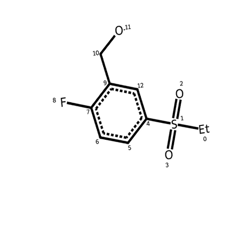 CCS(=O)(=O)c1ccc(F)c(C[O])c1